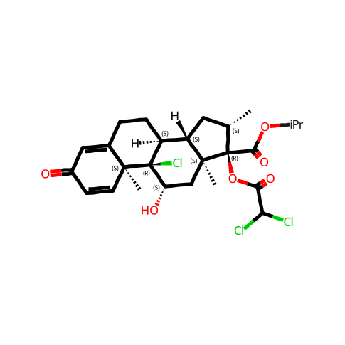 CC(C)OC(=O)[C@@]1(OC(=O)C(Cl)Cl)[C@@H](C)C[C@H]2[C@@H]3CCC4=CC(=O)C=C[C@]4(C)[C@@]3(Cl)[C@@H](O)C[C@@]21C